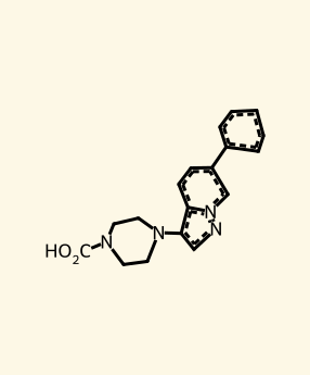 O=C(O)N1CCN(c2cnn3cc(-c4ccccc4)ccc23)CC1